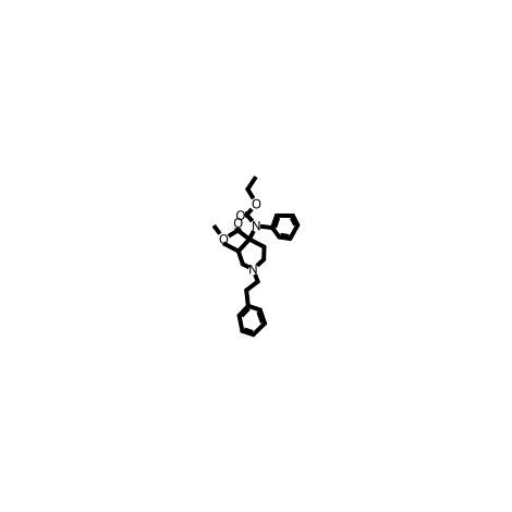 CCOC(=O)N(c1ccccc1)C1(C(=O)OC)CCN(CCc2ccccc2)CC1C